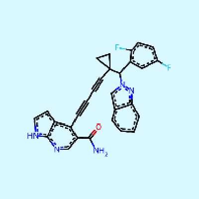 NC(=O)c1cnc2[nH]ccc2c1C#CC#CC1(C(c2cc(F)ccc2F)n2cc3ccccc3n2)CC1